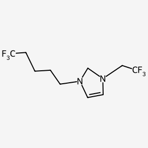 FC(F)(F)CCCCN1C=CN(CC(F)(F)F)C1